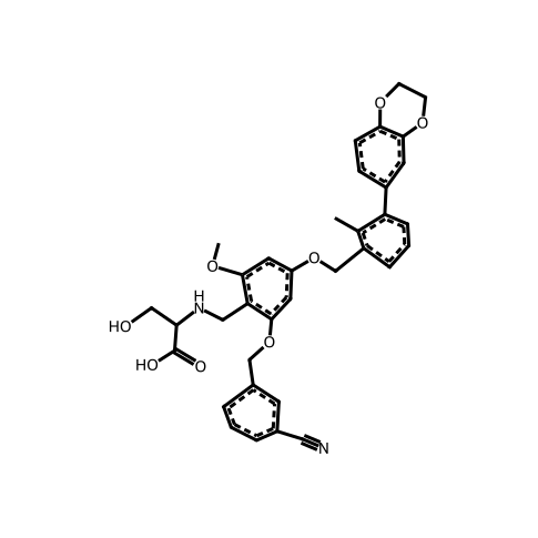 COc1cc(OCc2cccc(-c3ccc4c(c3)OCCO4)c2C)cc(OCc2cccc(C#N)c2)c1CNC(CO)C(=O)O